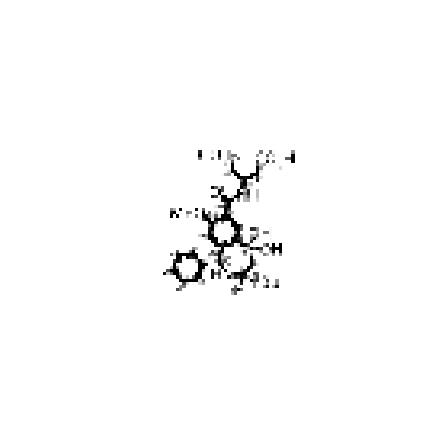 CCCC[C@]1(CC)CS(O)(O)c2cc(C(=O)NC(CC(=O)O)CC(=O)O)c(OC)cc2[C@@H](c2ccccc2)N1